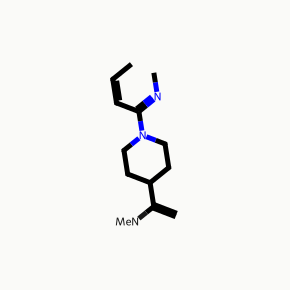 C=C(NC)C1CCN(C(/C=C\C)=N/C)CC1